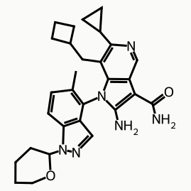 Cc1ccc2c(cnn2C2CCCCO2)c1-n1c(N)c(C(N)=O)c2cnc(C3CC3)c(CC3CCC3)c21